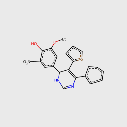 CCOc1cc(C2NC=NC(c3ccccc3)=C2c2cccs2)cc([N+](=O)[O-])c1O